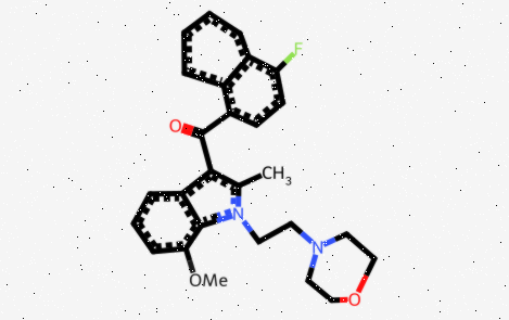 COc1cccc2c(C(=O)c3ccc(F)c4ccccc34)c(C)n(CCN3CCOCC3)c12